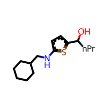 CCCC(O)c1ccc(NCC2CCCCC2)s1